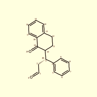 O=CC[C@@H](c1ccccc1)C1CCc2ccccc2C1=O